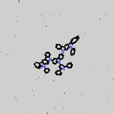 c1ccc(-c2cc(-n3c4ccc(-n5c6ccccc6c6cc7c8ccccc8n(-c8ccccc8)c7cc65)cc4c4cc(-n5c6ccccc6c6cc7c8ccccc8n(-c8ccccc8)c7cc65)ccc43)cc(-c3ccccc3)n2)cc1